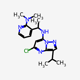 CC(C)c1cnn2c(NC(C)c3cccnc3N(C)C)cc(Cl)nc12